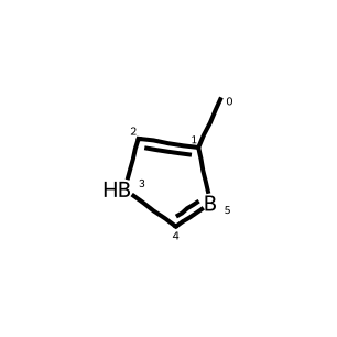 CC1=CBC=B1